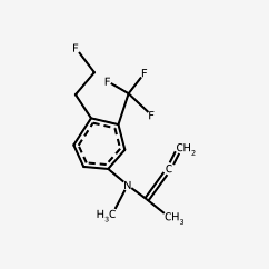 C=C=C(C)N(C)c1ccc(CCF)c(C(F)(F)F)c1